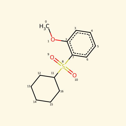 COc1ccccc1S(=O)(=O)C1CCCCC1